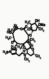 Bn1cc(CCN(C)[C@H]2C[C@@H](C)O[C@H]3O[C@@H]4[C@@H](C)[C@H](O[C@H]5C[C@@](C)(OC)[C@@H](O)[C@H](C)O5)[C@@H](C)C(=O)O[C@H](CC)[C@@](C)(O)[C@H](O)[C@@H](C)C(=O)[C@H](C)C[C@@]4(C)O[C@@H]32)nn1